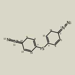 [N-]=[N+]=C1C=CC(SC2=CCC(=[N+]=[N-])C=C2)=CC1